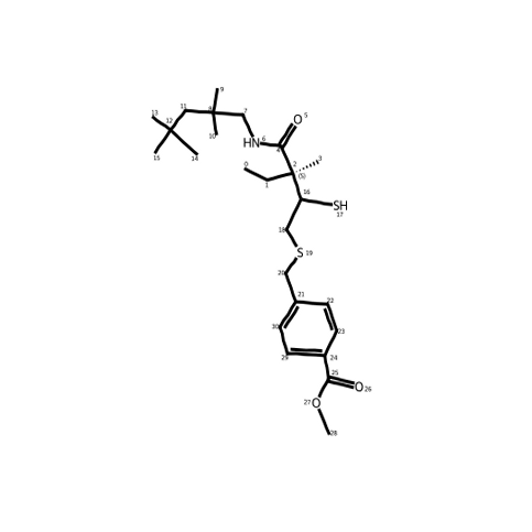 CC[C@@](C)(C(=O)NCC(C)(C)CC(C)(C)C)C(S)CSCc1ccc(C(=O)OC)cc1